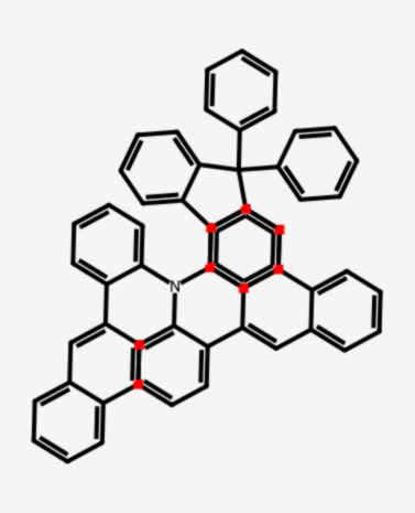 c1ccc(C2(c3ccccc3)c3ccccc3-c3c(N(c4ccccc4-c4ccc5ccccc5c4)c4ccccc4-c4cc5ccccc5c5ccccc45)cccc32)cc1